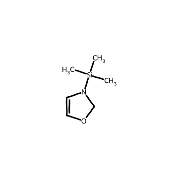 C[Si](C)(C)N1C=COC1